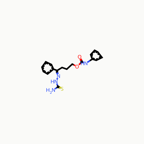 NC(=S)NN=C(CCCOC(=O)Nc1ccccc1)c1ccccc1